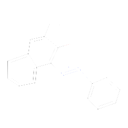 O=C(O)c1cc2ccccc2c(/N=N/c2ccccc2)c1O